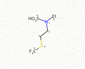 CCN(CCSC(F)(F)F)S(=O)(=O)O